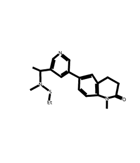 CCSN(C)C(C)c1cncc(-c2ccc3c(c2)CCC(=O)N3C)c1